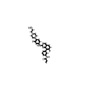 C=CC(=O)Nc1cccc(-c2c(F)ccc3cnc(Nc4ccc(N5CCN(CCO)CC5)c(F)c4)nc23)c1